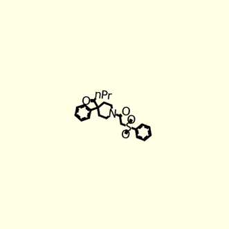 CCCC(=O)C1(c2ccccc2)CCN(C(=O)CS(=O)(=O)c2ccccc2)CC1